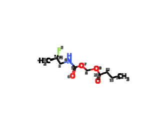 [CH2][C@@H](F)CNC(=O)OCOC(=O)CCC